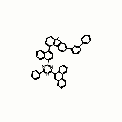 C1=C(c2ccc(-c3nc(-c4ccccc4)nc(-c4cc5ccccc5c5ccccc45)n3)c3ccccc23)c2c(oc3cc(-c4cccc(-c5ccccc5)c4)ccc23)CC1